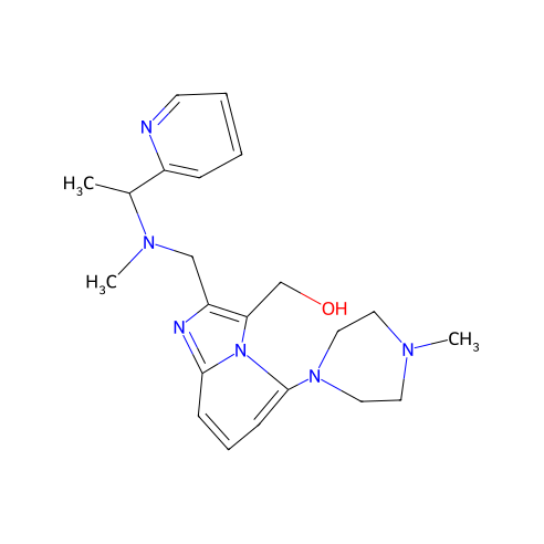 CC(c1ccccn1)N(C)Cc1nc2cccc(N3CCN(C)CC3)n2c1CO